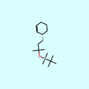 CC(C)(CC[C@@H]1C=CCCC1)O[Si](C)(C)C(C)(C)C